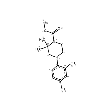 Cc1cnc(N2CCN(C(=O)OC(C)(C)C)C(C)(C)C2)c(C)c1